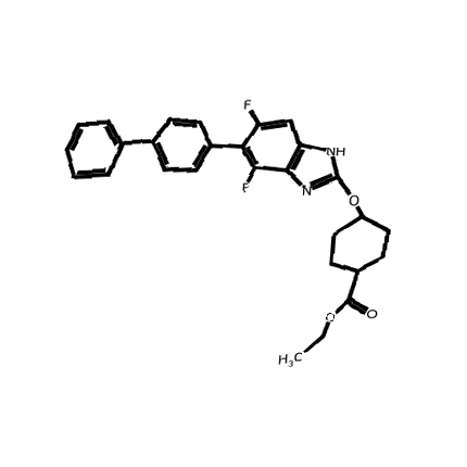 CCOC(=O)C1CCC(Oc2nc3c(F)c(-c4ccc(-c5ccccc5)cc4)c(F)cc3[nH]2)CC1